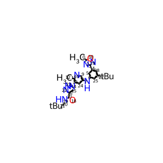 Cc1nc(-c2cc(Nc3cnc(C)c(-n4cc(C(=O)NCC(C)(C)C)nn4)c3)cc(C(C)(C)C)c2)no1